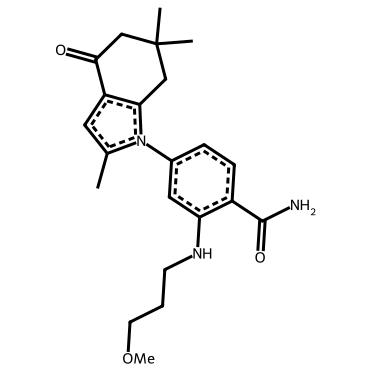 COCCCNc1cc(-n2c(C)cc3c2CC(C)(C)CC3=O)ccc1C(N)=O